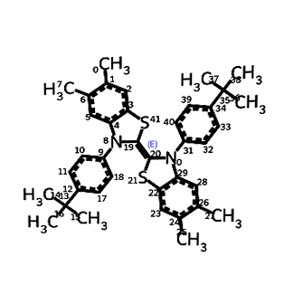 Cc1cc2c(cc1C)N(c1ccc(C(C)(C)C)cc1)/C(=C1\Sc3cc(C)c(C)cc3N1c1ccc(C(C)(C)C)cc1)S2